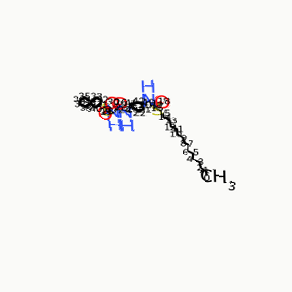 CCCCCCCCCCCCCCCCSC(=O)Nc1ccc(NC(=O)NS(=O)(=O)c2ccc3ccccc3c2)cc1